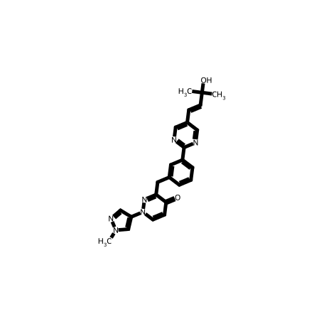 Cn1cc(-n2ccc(=O)c(Cc3cccc(-c4ncc(/C=C/C(C)(C)O)cn4)c3)n2)cn1